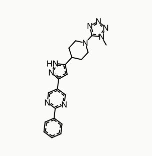 Cn1nnnc1N1CCC(c2cc(-c3cnc(-c4ccccc4)nc3)n[nH]2)CC1